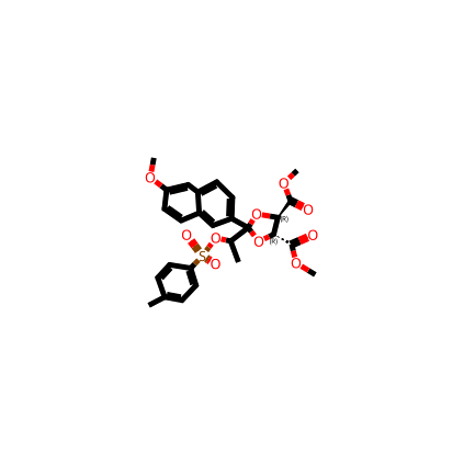 COC(=O)[C@@H]1OC(c2ccc3cc(OC)ccc3c2)(C(C)OS(=O)(=O)c2ccc(C)cc2)O[C@H]1C(=O)OC